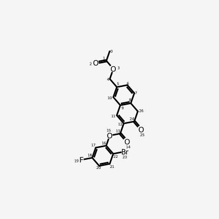 CC(=O)OCc1ccc2c(c1)C=C(C(=O)Oc1cc(F)ccc1Br)C(=O)C2